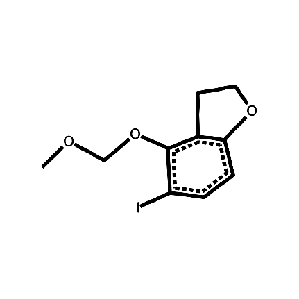 COCOc1c(I)ccc2c1CCO2